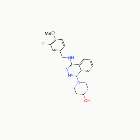 COc1ccc(CNc2nnc(N3CCC(O)CC3)c3ccccc23)cc1F